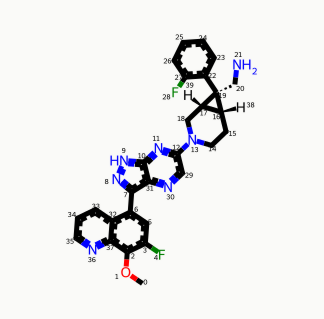 COc1c(F)cc(-c2n[nH]c3nc(N4CC[C@@H]5[C@H](C4)[C@@]5(CN)c4ccccc4F)cnc23)c2cccnc12